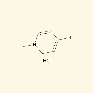 CN1C=CC(I)=CC1.Cl